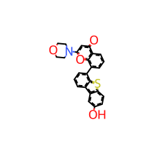 O=c1cc(N2CCOCC2)oc2c(-c3cccc4c3sc3ccc(O)cc34)cccc12